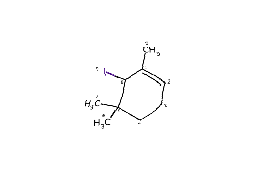 CC1=CCCC(C)(C)C1I